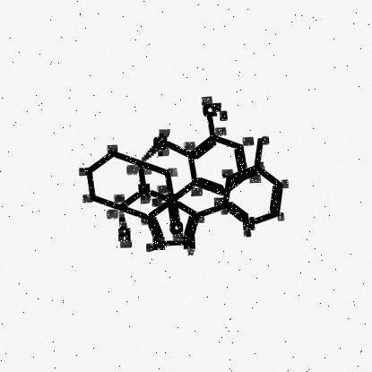 Cc1ccnc(-c2nnc3n2C[C@@H]2CCC[C@H]3N2C(=O)c2cccc(C(F)(F)F)c2Cl)c1